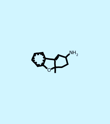 CC12CCC(N)C=C1c1ccccc1O2